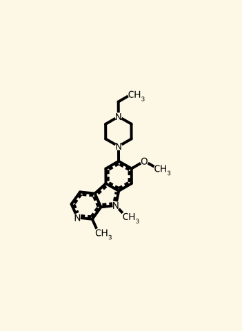 CCN1CCN(c2cc3c4ccnc(C)c4n(C)c3cc2OC)CC1